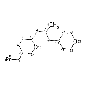 CC(C)CC1CCC(CC(C)CC2CCOCC2)OC1